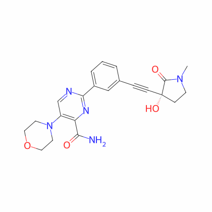 CN1CC[C@@](O)(C#Cc2cccc(-c3ncc(N4CCOCC4)c(C(N)=O)n3)c2)C1=O